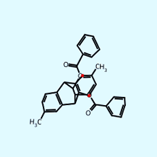 Cc1ccc2c(c1)C1c3ccc(C)cc3C2C(OC(=O)c2ccccc2)C1OC(=O)c1ccccc1